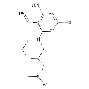 CC(=O)N(C)CC1CCCN(c2cc(Cl)cc(N)c2C=N)C1